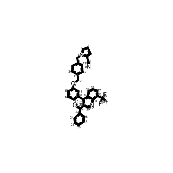 N#Cc1cccn1Cc1ccc(COc2cccc(-c3c(C(=O)c4ccccc4)cnc4c(C(F)(F)F)cccc34)c2)cc1